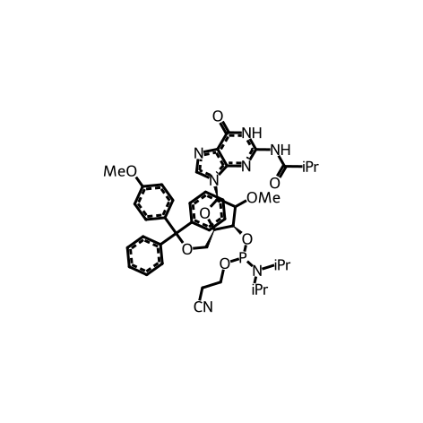 COc1ccc(C(OC[C@H]2O[C@@H](n3cnc4c(=O)[nH]c(NC(=O)C(C)C)nc43)C(OC)[C@H]2OP(OCCC#N)N(C(C)C)C(C)C)(c2ccccc2)c2ccccc2)cc1